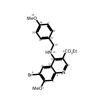 CCOC(=O)c1cnc2cc(OC)c(Br)cc2c1NCc1ccc(OC)cc1